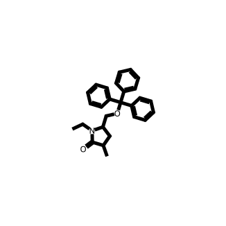 CCN1C(=O)C(C)CC1COC(c1ccccc1)(c1ccccc1)c1ccccc1